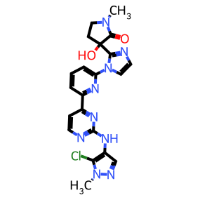 CN1CCC(O)(c2nccn2-c2cccc(-c3ccnc(Nc4cnn(C)c4Cl)n3)n2)C1=O